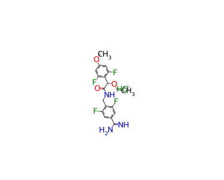 CCOC(C(=O)NCc1c(F)cc(C(=N)N)cc1F)c1c(F)cc(OC)cc1F.Cl